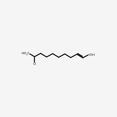 CCCCCCCCC=CCCCCCCC(Cl)C(=O)O